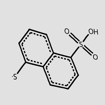 O=S(=O)(O)c1cccc2c([S])cccc12